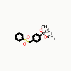 CO[Si](C)(OC)c1ccc(CS(=O)(=O)c2ccccc2)cc1